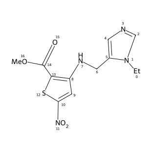 CCn1cncc1CNc1cc([N+](=O)[O-])sc1C(=O)OC